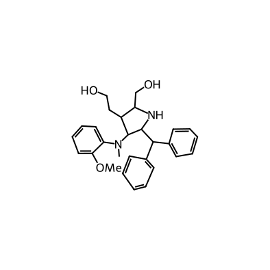 COc1ccccc1N(C)C1C(CCO)C(CO)NC1C(c1ccccc1)c1ccccc1